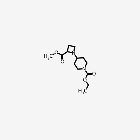 CCOC(=O)N1CCC(N2CCC2C(=O)OC)CC1